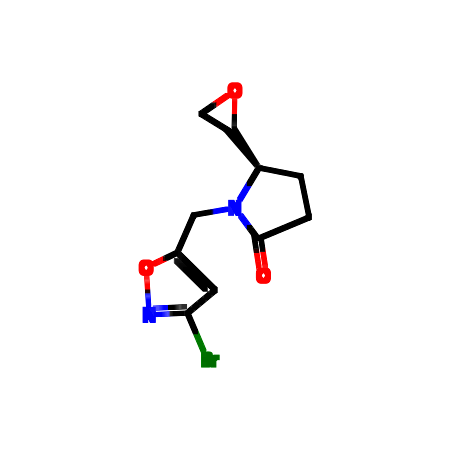 O=C1CC[C@H](C2CO2)N1Cc1cc(Br)no1